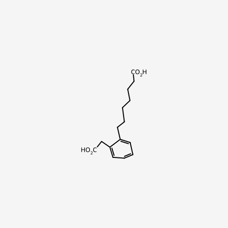 O=C(O)CCCCCCc1ccccc1CC(=O)O